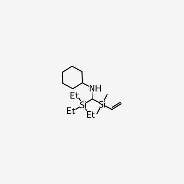 C=C[Si](C)(C)C(NC1CCCCC1)[Si](CC)(CC)CC